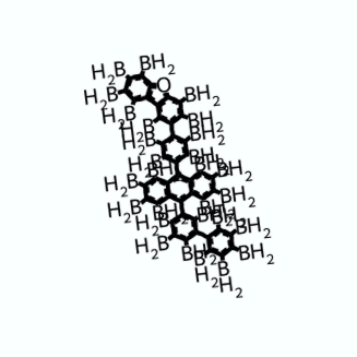 Bc1c(B)c(B)c(-c2c(B)c(B)c(B)c(-c3c4c(B)c(B)c(B)c(B)c4c(-c4c(B)c(B)c(-c5c(B)c(B)c6oc7c(B)c(B)c(B)c(B)c7c6c5B)c(B)c4B)c4c(B)c(B)c(B)c(B)c34)c2B)c(B)c1B